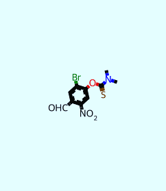 CN(C)C(=S)Oc1cc([N+](=O)[O-])c(C=O)cc1Br